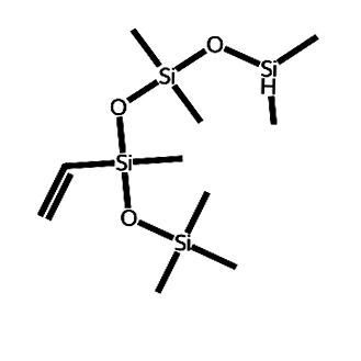 C=C[Si](C)(O[Si](C)(C)C)O[Si](C)(C)O[SiH](C)C